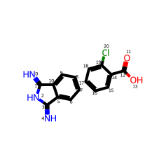 N=C1NC(=N)c2ccccc21.O=C(O)c1ccccc1Cl